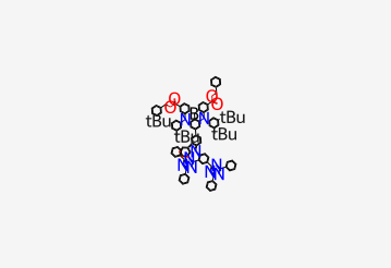 CC(C)(C)c1cc(N2c3cc(C(=O)OCc4ccccc4)ccc3B3c4ccc(C(=O)OCc5ccccc5)cc4N(c4cc(C(C)(C)C)cc(C(C)(C)C)c4)c4cc(-c5ccc6c(c5)c5ccccc5n6-c5ccc(-c6nc(-c7ccccc7)nc(-c7ccccc7)n6)cc5-c5nc(-c6ccccc6)nc(-c6ccccc6)n5)cc2c43)cc(C(C)(C)C)c1